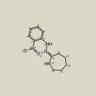 O=[N+]([O-])c1ccccc1NN=C1CCCCCN1